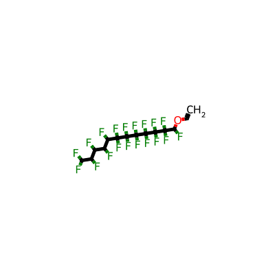 C=COC(F)C(F)(F)C(F)(F)C(F)(F)C(F)(F)C(F)(F)C(F)(F)C(F)C(F)C(F)C(F)C(F)F